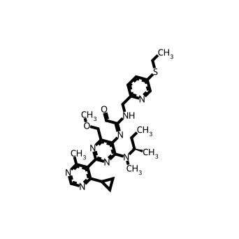 CCSc1ccc(CN/C(C=O)=N/c2c(COC)nc(-c3c(C)ncnc3C3CC3)nc2N(C)[C@H](C)CC)nc1